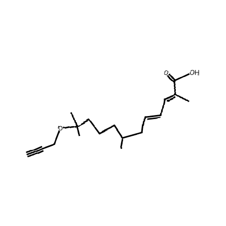 C#CCOC(C)(C)CCCC(C)C/C=C/C=C(\C)C(=O)O